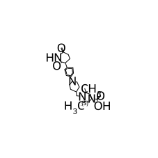 CC1CN(C(=O)O)C[C@H](C)N1CC1CCN(c2ccc(C3CCC(=O)NC3=O)cc2)CC1